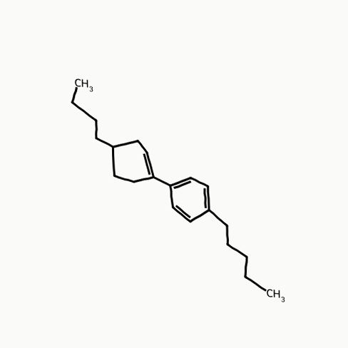 CCCCCc1ccc(C2=CCC(CCCC)CC2)cc1